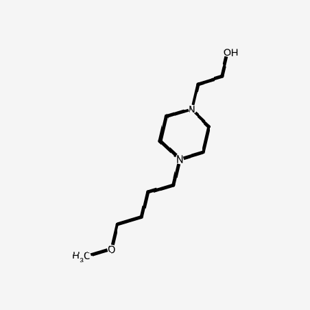 COCCCCN1CCN(CCO)CC1